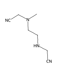 CN(CC#N)CCNCC#N